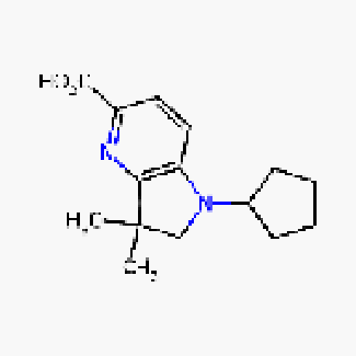 CC1(C)CN(C2CCCC2)c2ccc(C(=O)O)nc21